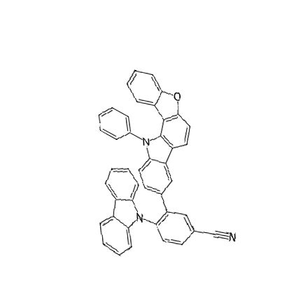 N#Cc1ccc(-n2c3ccccc3c3ccccc32)c(-c2ccc3c(c2)c2ccc4oc5ccccc5c4c2n3-c2ccccc2)c1